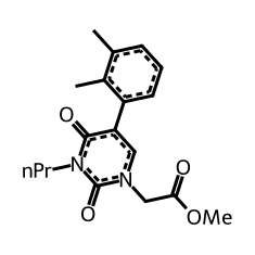 CCCn1c(=O)c(-c2cccc(C)c2C)cn(CC(=O)OC)c1=O